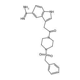 N=C(N)c1ccc2[nH]cc(CC(=O)N3CCN(S(=O)(=O)Cc4ccccc4)CC3)c2c1